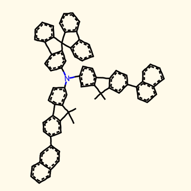 CC1(C)c2cc(-c3ccc4ccccc4c3)ccc2-c2ccc(N(c3ccc4c(c3)C(C)(C)c3cc(-c5cccc6ccccc56)ccc3-4)c3ccc4c(c3)C3(c5ccccc5-c5ccccc53)c3ccccc3-4)cc21